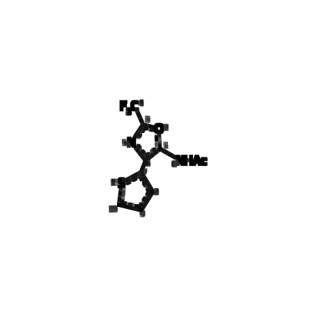 CC(=O)Nc1oc(C(F)(F)F)nc1-c1cccs1